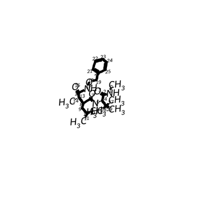 CNC(=O)[C@@H](NC(=O)C(CC(C)C)[C@H](C)C(=O)NOCc1ccccc1)C(C)(C)C